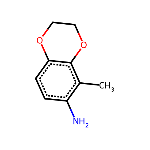 Cc1c(N)ccc2c1OCCO2